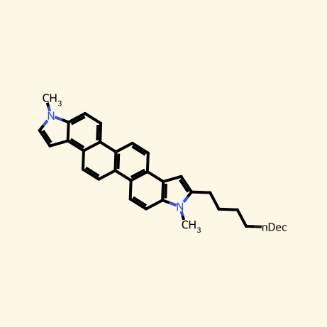 CCCCCCCCCCCCCCc1cc2c3ccc4c(ccc5c4ccc4c5ccn4C)c3ccc2n1C